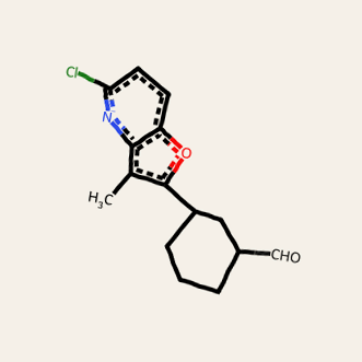 Cc1c(C2CCCC(C=O)C2)oc2ccc(Cl)nc12